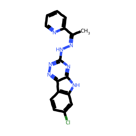 CC(=NNc1nnc2c(n1)[nH]c1cc(Cl)ccc12)c1ccccn1